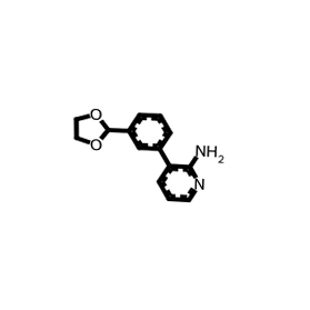 Nc1ncccc1-c1cccc(C2OCCO2)c1